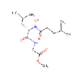 COC(=O)CNC(=O)[C@H](CC(C)C)N(O)C(=O)CCC(C)C